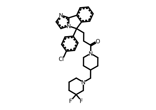 O=C(CCC1(c2ccc(Cl)cc2)c2ccccc2-c2nccn21)N1CCC(CN2CCCC(F)(F)C2)CC1